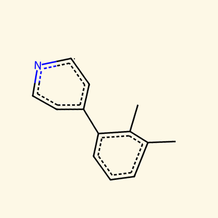 Cc1cccc(-c2c[c]ncc2)c1C